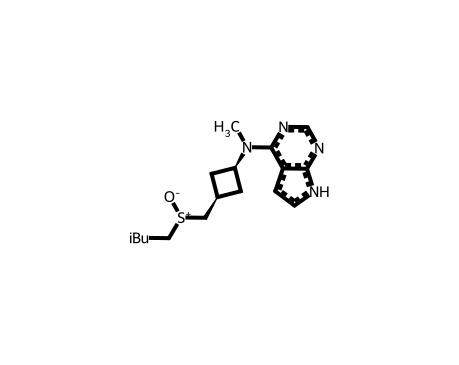 CCC(C)C[S+]([O-])C[C@H]1C[C@@H](N(C)c2ncnc3[nH]ccc23)C1